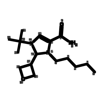 CCCCCN1C(C(N)=O)=CN(C(C)(C)C)C1C1COC1